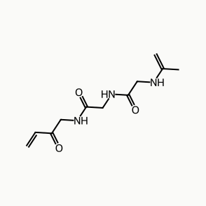 C=CC(=O)CNC(=O)CNC(=O)CNC(=C)C